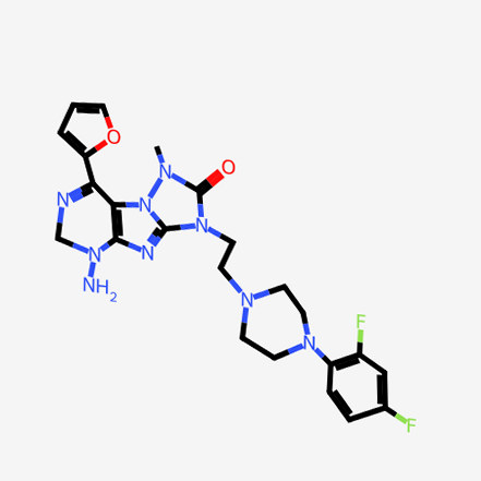 Cn1c(=O)n(CCN2CCN(c3ccc(F)cc3F)CC2)c2nc3c(n21)C(c1ccco1)=NCN3N